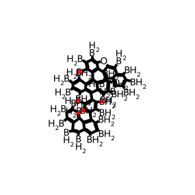 Bc1c(B)c(-c2c(B)c(B)c(B)c3c(B)c(B)c4c(B)c(B)c(B)c(B)c4c23)c(B)c(B)c1-c1c2c(B)c(B)c(B)c(B)c2c(-c2c(B)c(B)c(B)c3oc4c(B)c5c(B)c(B)c(B)c(B)c5c(B)c4c23)c2c(B)c(B)c(B)c(B)c12